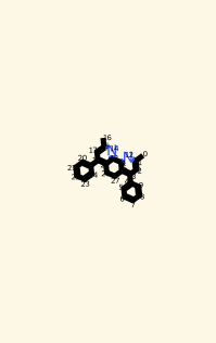 Cc1cc(-c2ccccc2)c2c(n1)-c1nc(C)cc(-c3ccccc3)c1CC2